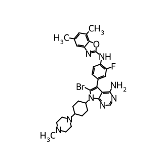 Cc1cc(C)c2oc(Nc3ccc(-c4c(Br)n(C5CCC(N6CCN(C)CC6)CC5)c5ncnc(N)c45)cc3F)nc2c1